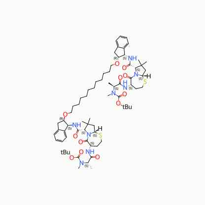 C[C@@H](C(=O)N[C@H]1CCS[C@H]2CC(C)(C)[C@@H](C(=O)N[C@H]3c4ccccc4C[C@H]3OCCCCCCCCCCCCO[C@@H]3Cc4ccccc4[C@@H]3NC(=O)[C@H]3N4C(=O)[C@@H](NC(=O)[C@H](C)N(C)C(=O)OC(C)(C)C)CCS[C@H]4CC3(C)C)N2C1=O)N(C)C(=O)OC(C)(C)C